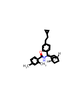 Cc1ccc(C(=O)N[C@@H](c2ccc(CCC3CC3)cc2)C2C[C@@H]3CC[C@H]2C3)c(C)c1